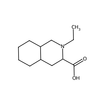 CCN1CC2CCCCC2CC1C(=O)O